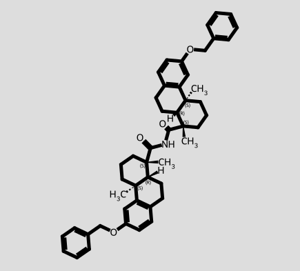 C[C@]1(C(=O)NC(=O)[C@@]2(C)CCC[C@]3(C)c4cc(OCc5ccccc5)ccc4CC[C@@H]23)CCC[C@]2(C)c3cc(OCc4ccccc4)ccc3CC[C@@H]12